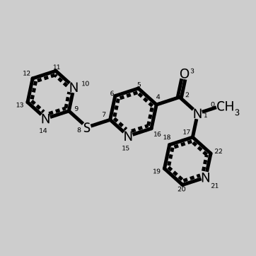 CN(C(=O)c1ccc(Sc2ncccn2)nc1)c1cccnc1